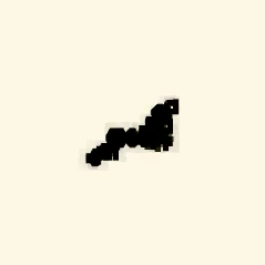 CC(C)CNCCN1CCCC(C2CN(c3cnc4c(C(F)(F)F)nn(C(C)c5ccc(Cl)cc5Cl)c4n3)C2)C1